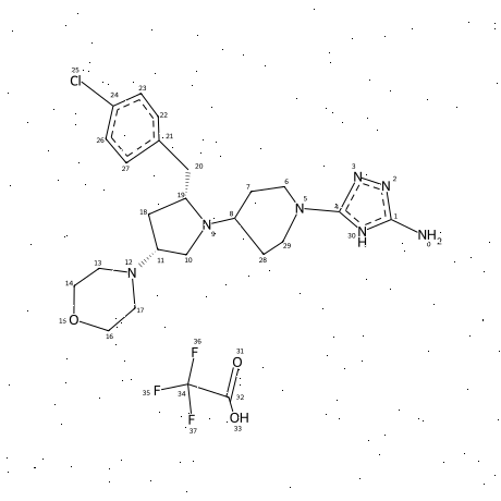 Nc1nnc(N2CCC(N3C[C@H](N4CCOCC4)C[C@@H]3Cc3ccc(Cl)cc3)CC2)[nH]1.O=C(O)C(F)(F)F